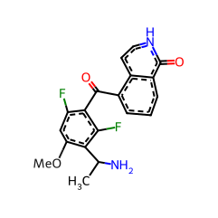 COc1cc(F)c(C(=O)c2cccc3c(=O)[nH]ccc23)c(F)c1C(C)N